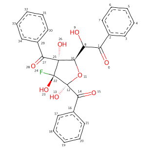 O=C(c1ccccc1)C(O)[C@H]1O[C@@](O)(C(=O)c2ccccc2)[C@](O)(F)[C@@]1(O)C(=O)c1ccccc1